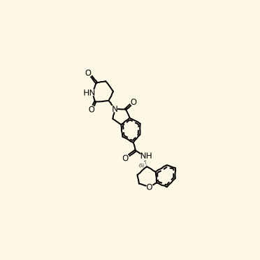 O=C1CCC(N2Cc3cc(C(=O)N[C@H]4CCOc5ccccc54)ccc3C2=O)C(=O)N1